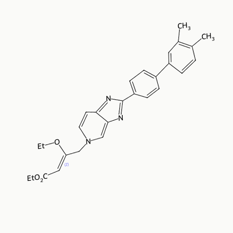 CCOC(=O)/C=C(/Cn1ccc2nc(-c3ccc(-c4ccc(C)c(C)c4)cc3)nc-2c1)OCC